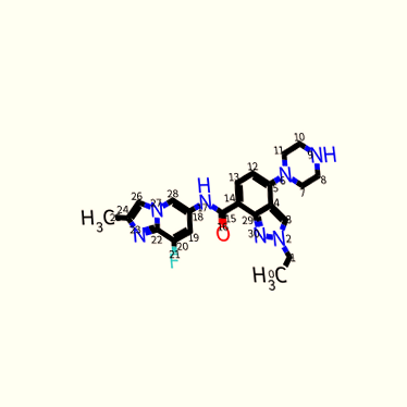 CCn1cc2c(N3CCNCC3)ccc(C(=O)Nc3cc(F)c4nc(C)cn4c3)c2n1